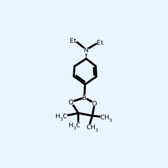 CCN(CC)[C@@H]1C=CC(B2OC(C)(C)C(C)(C)O2)=CC1